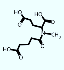 CN(C(=O)CCCC(=O)O)C(CCC(=O)O)C(=O)O